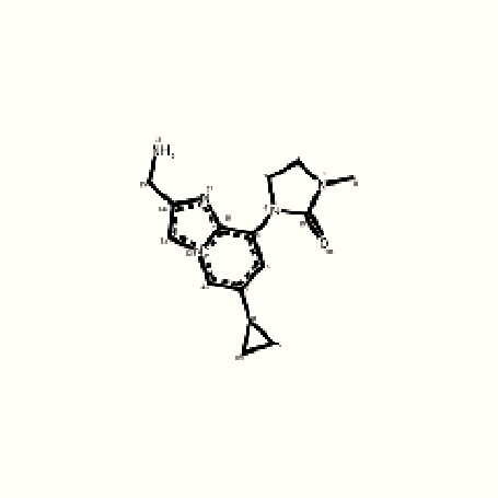 CN1CCN(c2cc(C3CC3)cn3cc(CN)nc23)C1=O